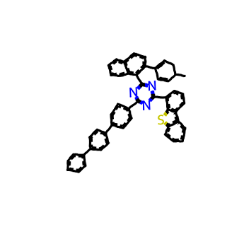 CC1C=CC(c2ccc3ccccc3c2-c2nc(-c3ccc(-c4ccc(-c5ccccc5)cc4)cc3)nc(-c3cccc4c3sc3ccccc34)n2)=CC1